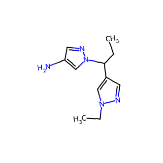 CCC(c1cnn(CC)c1)n1cc(N)cn1